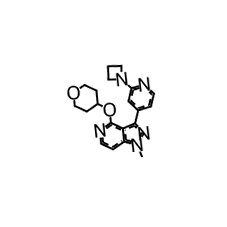 Cn1nc(-c2ccnc(N3CCC3)c2)c2c(OC3CCOCC3)nccc21